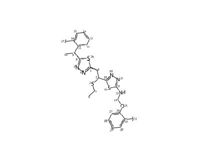 CCSC(Cc1nnc(C(C)c2ccccc2I)s1)c1nnc(NCOc2ccccc2I)s1